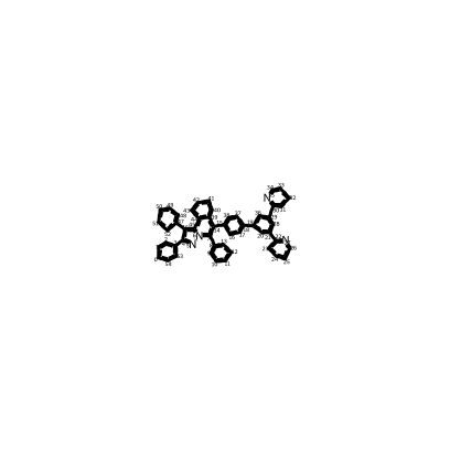 c1ccc(-c2nn3c(-c4ccccc4)c(-c4ccc(-c5cc(-c6ccccn6)cc(-c6ccccn6)c5)cc4)c4ccccc4c3c2-c2ccccc2)cc1